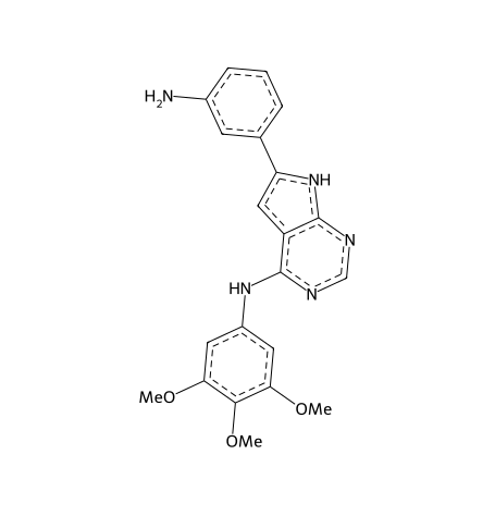 COc1cc(Nc2ncnc3[nH]c(-c4cccc(N)c4)cc23)cc(OC)c1OC